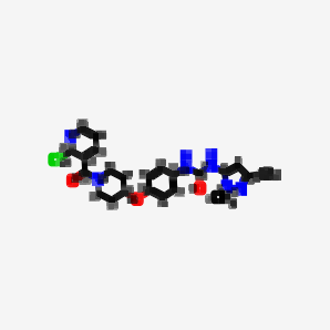 Cn1nc(C(C)(C)C)cc1NC(=O)Nc1ccc(OC2CCN(C(=O)c3cccnc3Cl)CC2)cc1